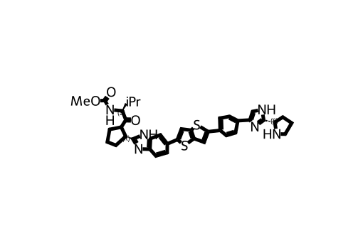 COC(=O)N[C@H](C(=O)C1CCC[C@H]1c1nc2ccc(-c3cc4sc(-c5ccc(-c6c[nH]c([C@@H]7CCCN7)n6)cc5)cc4s3)cc2[nH]1)C(C)C